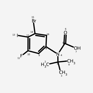 CC(C)(C)N(C(=O)O)c1cc(F)c(I)c(Br)c1